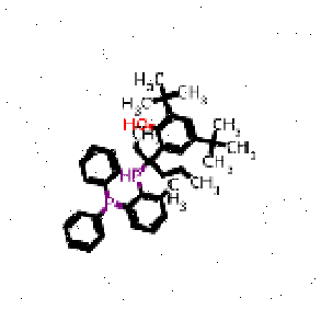 CCCC(CC)(Pc1c(C)cccc1P(c1ccccc1)c1ccccc1)c1cc(C(C)(C)C)cc(C(C)(C)C)c1O